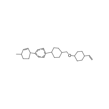 C=CC1CCC(OCC2CCC(c3ccc(C4C=CC(C)CC4)cc3)CC2)CC1